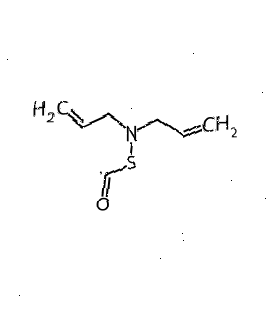 C=CCN(CC=C)S[C]=O